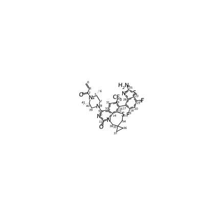 C=CC(=O)N1[C@H](C)CN(c2nc(=O)n3c4c(c(-c5c(F)cc(F)c6sc(N)nc56)c(C(F)(F)F)cc24)SCC2(CC2)C3)C[C@@H]1C